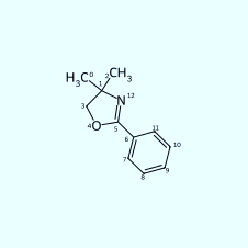 CC1(C)COC(c2ccccc2)=N1